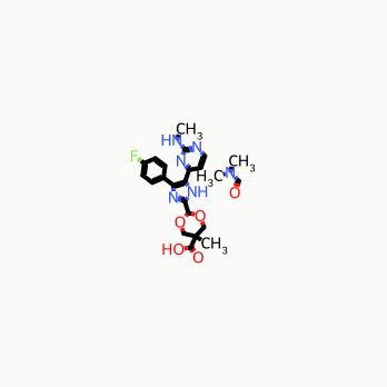 CN(C)C=O.CNc1nccc(-c2[nH]c(C3OCC(C)(C(=O)O)CO3)nc2-c2ccc(F)cc2)n1